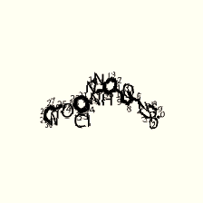 CP1(=O)CCN(Cc2ccc(-c3ccc4ncnc(Nc5ccc(OCc6ccccn6)c(Cl)c5)c4c3)o2)CC1